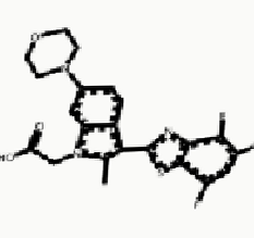 Cc1c(-c2nc3c(F)c(F)cc(F)c3s2)c2ccc(N3CCOCC3)cc2n1CC(=O)O